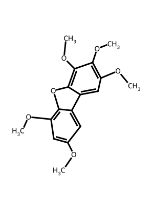 COc1cc(OC)c2oc3c(OC)c(OC)c(OC)cc3c2c1